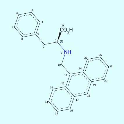 O=C(O)[C@H](Cc1ccccc1)NCc1c2ccccc2cc2ccccc12